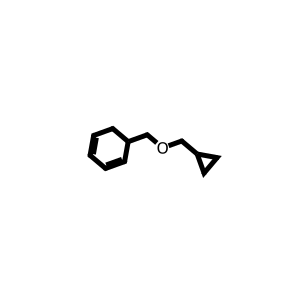 C1=CCC(COCC2CC2)C=C1